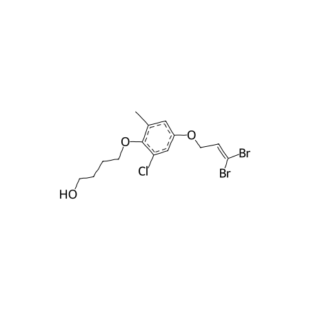 Cc1cc(OCC=C(Br)Br)cc(Cl)c1OCCCCO